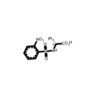 CC(C)[C@@H](NS(=O)(=O)c1ccccc1[N+](=O)[O-])C(=O)O